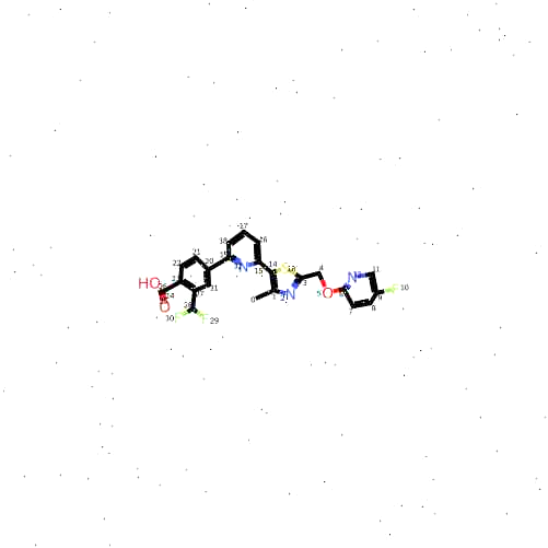 Cc1nc(COc2ccc(F)cn2)sc1-c1cccc(-c2ccc(C(=O)O)c(C(F)F)c2)n1